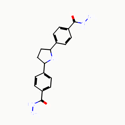 NNC(=O)c1ccc(C2CCC(c3ccc(C(=O)NN)cc3)N2)cc1